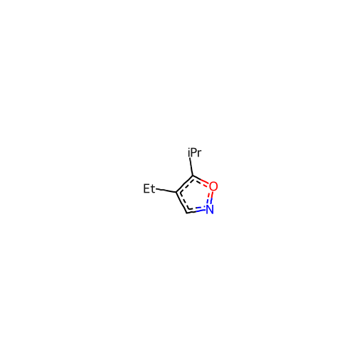 CCc1cnoc1C(C)C